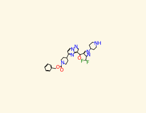 O=C(c1cn(C2CCNCC2)nc1C(F)F)c1cnn2ccc(C3CCN(C(=O)OCc4ccccc4)CC3)nc12